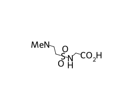 CNCCS(=O)(=O)NCC(=O)O